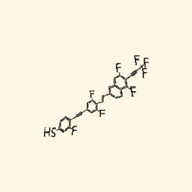 Fc1cc(S)ccc1C#Cc1cc(F)c(/C=C/c2ccc3c(F)c(C#CC(F)(F)F)c(F)cc3c2)c(F)c1